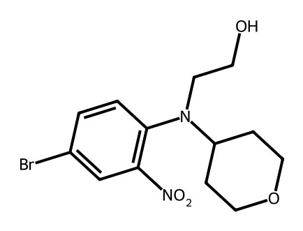 O=[N+]([O-])c1cc(Br)ccc1N(CCO)C1CCOCC1